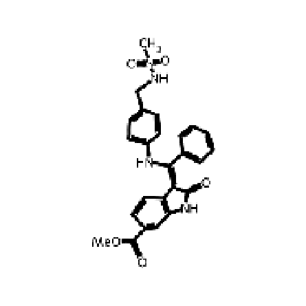 COC(=O)c1ccc2c(c1)NC(=O)C2=C(Nc1ccc(CNS(C)(=O)=O)cc1)c1ccccc1